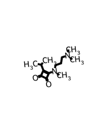 CC(C)c1c(N(C)CCCN(C)C)c(=O)c1=O